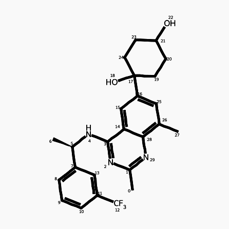 Cc1nc(N[C@H](C)c2cccc(C(F)(F)F)c2)c2cc(C3(O)CCC(O)CC3)cc(C)c2n1